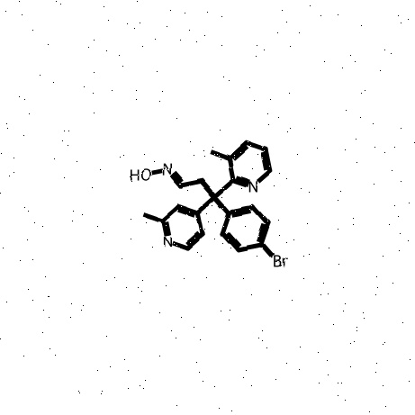 Cc1cc(C(C/C=N/O)(c2ccc(Br)cc2)c2ncccc2C)ccn1